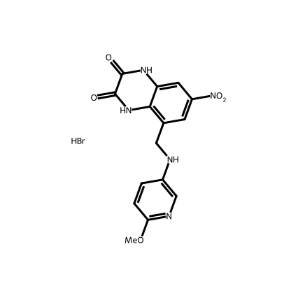 Br.COc1ccc(NCc2cc([N+](=O)[O-])cc3[nH]c(=O)c(=O)[nH]c23)cn1